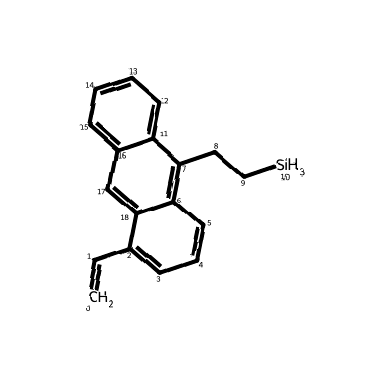 C=Cc1cccc2c(CC[SiH3])c3ccccc3cc12